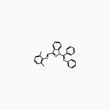 Cc1cccc(C)c1/N=C/c1nn(/C(=N/c2ccccc2)c2ccccc2)c2ccccc12